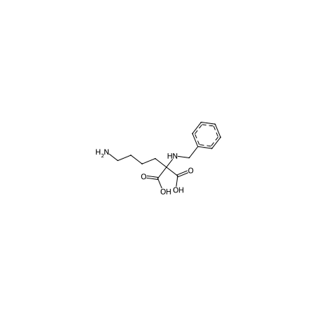 NCCCCC(NCc1ccccc1)(C(=O)O)C(=O)O